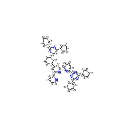 c1ccc(-c2cc(-c3cccc(-c4cc(-c5ccccn5)nc(-c5cccc(-c6nc(-c7ccccc7)nc(-c7ccccc7)n6)n5)c4)c3)nc(-c3ccccc3)n2)cc1